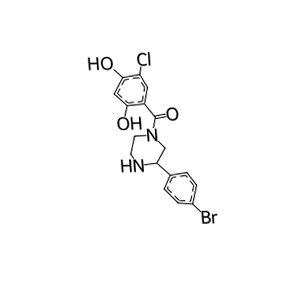 O=C(c1cc(Cl)c(O)cc1O)N1CCNC(c2ccc(Br)cc2)C1